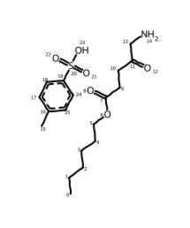 CCCCCCOC(=O)CCC(=O)CN.Cc1ccc(S(=O)(=O)O)cc1